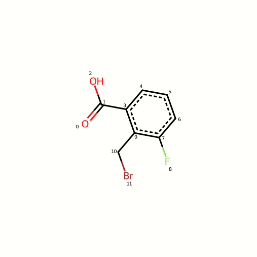 O=C(O)c1cccc(F)c1CBr